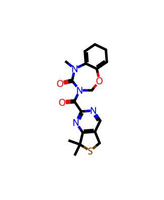 CN1C(=O)N(C(=O)c2ncc3c(n2)C(C)(C)SC3)COC2=CCCC=C21